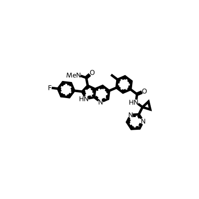 CNC(=O)c1c(-c2ccc(F)cc2)[nH]c2ncc(-c3cc(C(=O)NC4(c5ncccn5)CC4)ccc3C)cc12